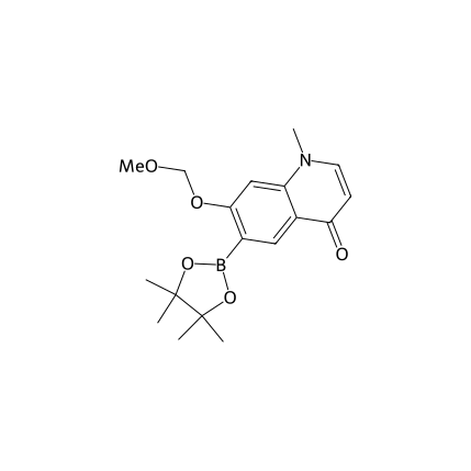 COCOc1cc2c(cc1B1OC(C)(C)C(C)(C)O1)c(=O)ccn2C